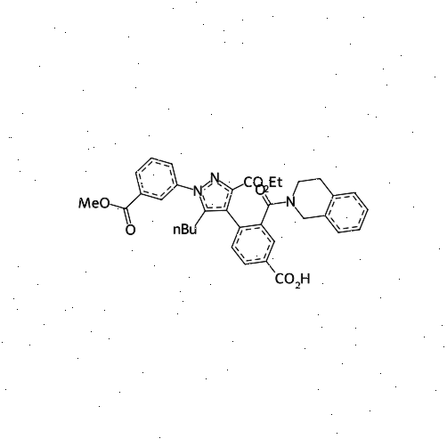 CCCCc1c(-c2ccc(C(=O)O)cc2C(=O)N2CCc3ccccc3C2)c(C(=O)OCC)nn1-c1cccc(C(=O)OC)c1